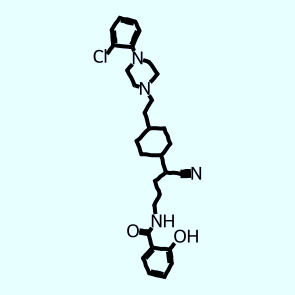 N#CC(CCCNC(=O)c1ccccc1O)C1CCC(CCN2CCN(c3ccccc3Cl)CC2)CC1